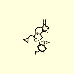 O=C(CC1CC1)N1CCc2[nH]cnc2C1CNc1cc(F)ccc1O